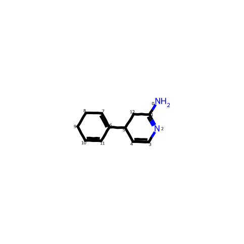 NC1=NC=CC(C2=CCCC=C2)C1